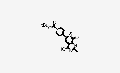 Cc1nc(O)c2cc(C3=CCN(C(=O)OC(C)(C)C)CC3)n(C)c(=O)c2n1